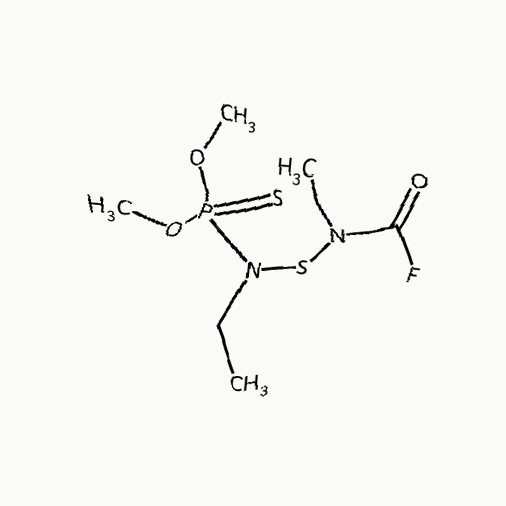 CCN(SN(C)C(=O)F)P(=S)(OC)OC